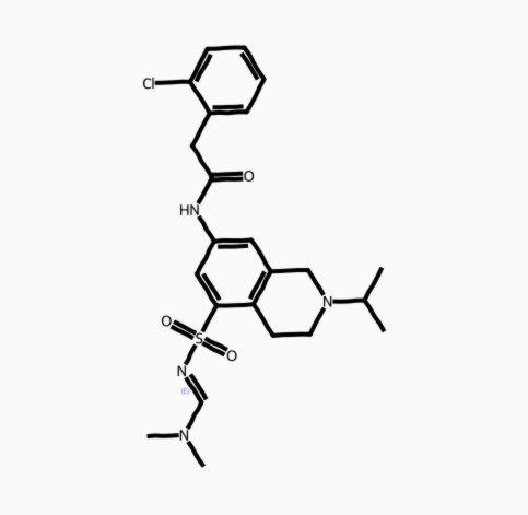 CC(C)N1CCc2c(cc(NC(=O)Cc3ccccc3Cl)cc2S(=O)(=O)/N=C/N(C)C)C1